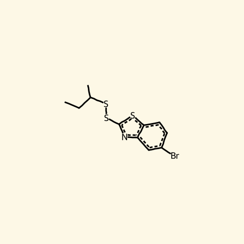 CCC(C)SSc1nc2cc(Br)ccc2s1